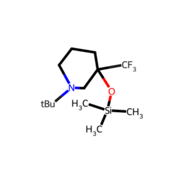 CC(C)(C)N1CCCC(O[Si](C)(C)C)(C(F)(F)F)C1